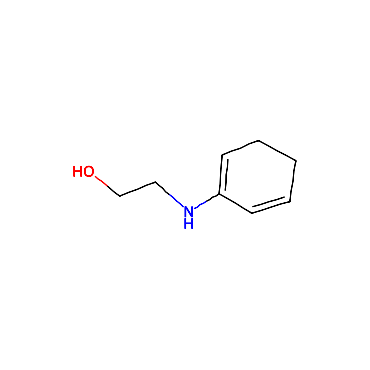 OCCNC1=CCCC=C1